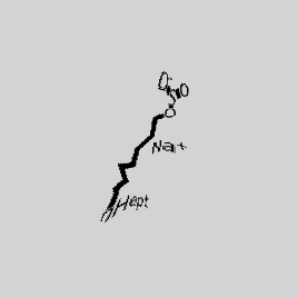 CCCCCCCCCCCCCCOS(=O)[O-].[Na+]